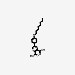 CCCCCCCCOc1ccc(-c2cnc(C(=O)O)c(C(=O)O)n2)cc1